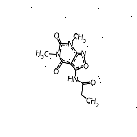 CCC(=O)Nc1onc2c1c(=O)n(C)c(=O)n2C